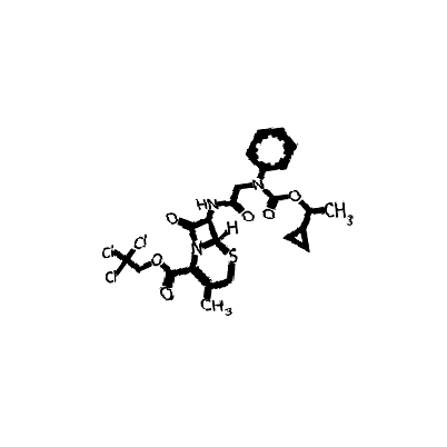 CC1=C(C(=O)OCC(Cl)(Cl)Cl)N2C(=O)C(NC(=O)CN(C(=O)OC(C)C3CC3)c3ccccc3)[C@@H]2SC1